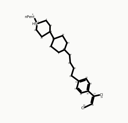 CCCCC[SiH]1CCC(C2CCC(CCCCc3ccc(/C(Cl)=C\Cl)cc3)CC2)CC1